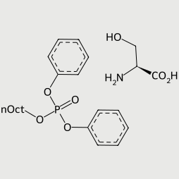 CCCCCCCCOP(=O)(Oc1ccccc1)Oc1ccccc1.N[C@@H](CO)C(=O)O